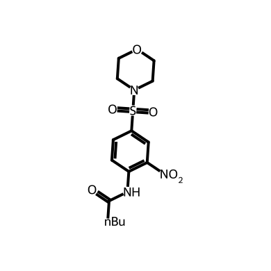 CCCCC(=O)Nc1ccc(S(=O)(=O)N2CCOCC2)cc1[N+](=O)[O-]